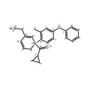 Cc1cc(Oc2ccccc2)ccc1[N+]1(C(=O)C2CC2)C=C(CN)C=CC1